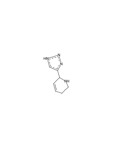 C1=CC(c2c[nH]nn2)NCC1